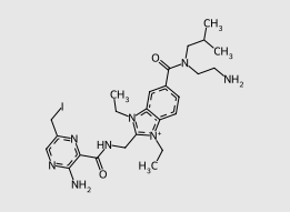 CCn1c(CNC(=O)c2nc(CI)cnc2N)[n+](CC)c2ccc(C(=O)N(CCN)CC(C)C)cc21